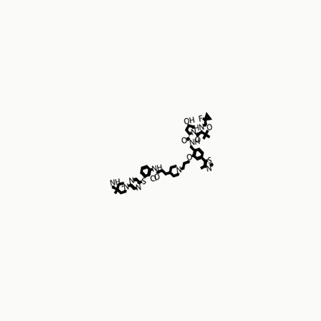 Cc1ncsc1-c1ccc(CNC(=O)[C@@H]2C[C@@H](O)CN2C(=O)[C@@H](NC(=O)C2(F)CC2)C(C)(C)C)c(OCCCN2CCC(CCC(=O)Nc3cccc(Sc4cnc(N5CCC(C)(CN)CC5)cn4)c3Cl)CC2)c1